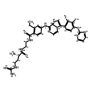 CCc1cc(Nc2nccn3c(-c4ccc(Oc5ncccn5)c(F)c4F)cnc23)ccc1C(=O)NCCNC(=O)[C@@H](N)CCNC(=N)N